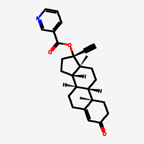 C#C[C@]1(OC(=O)c2cccnc2)CC[C@H]2[C@@H]3CCC4=CC(=O)CC[C@]4(C)[C@H]3CC[C@@]21C